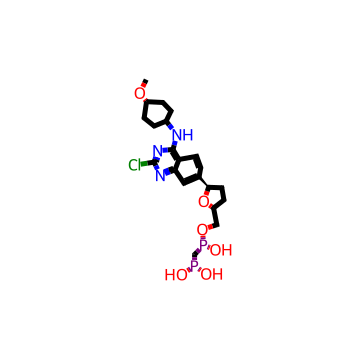 COC1CCC(Nc2nc(Cl)nc3cc([C@H]4CCC(COP(O)CP(O)O)O4)ccc23)CC1